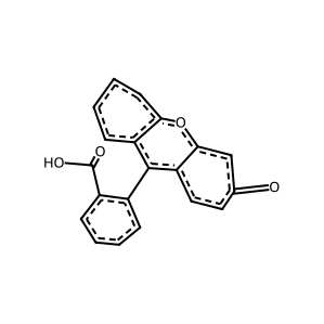 O=C(O)c1ccccc1-c1c2ccc(=O)cc-2oc2ccccc12